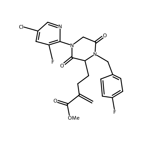 C=C(CCC1C(=O)N(c2ncc(Cl)cc2F)CC(=O)N1Cc1ccc(F)cc1)C(=O)OC